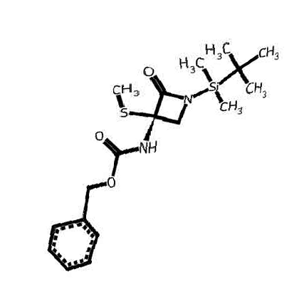 CS[C@@]1(NC(=O)OCc2ccccc2)CN([Si](C)(C)C(C)(C)C)C1=O